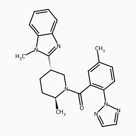 Cc1ccc(-n2nccn2)c(C(=O)N2C[C@@H](c3nc4ccccc4n3C)CC[C@@H]2C)c1